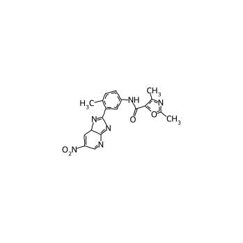 Cc1nc(C)c(C(=O)Nc2ccc(C)c(C3=NC4C=C([N+](=O)[O-])C=NC4=N3)c2)o1